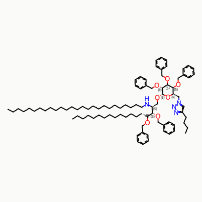 CCCCCCCCCCCCCCCCCCCCCCCCCCN[C@@H](CO[C@H]1O[C@H](Cn2cc(CCCC)nn2)[C@H](OCc2ccccc2)[C@H](OCc2ccccc2)[C@H]1OCc1ccccc1)[C@H](OCc1ccccc1)[C@@H](CCCCCCCCCCCCCC)OCc1ccccc1